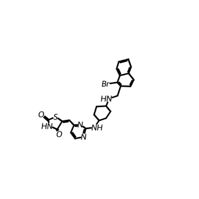 O=C1NC(=O)/C(=C\c2ccnc(NC3CCC(NCc4ccc5ccccc5c4Br)CC3)n2)S1